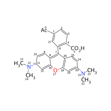 CC(=O)c1ccc(C(=O)O)c(-c2c3ccc(=[N+](C)C)cc-3oc3cc(N(C)C)ccc23)c1